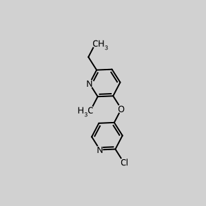 CCc1ccc(Oc2ccnc(Cl)c2)c(C)n1